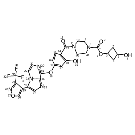 O=C(OC1CC(O)C1)N1CCN(C(=O)c2ccc(Oc3nccn4c(-c5conc5C(F)(F)F)cnc34)cc2O)CC1